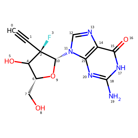 C#C[C@@]1(F)C(O)[C@@H](CO)O[C@H]1n1cnc2c(=O)[nH]c(N)nc21